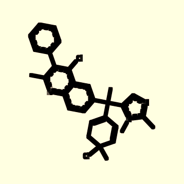 Cc1nc2ccc(C(C)(C3=CCC(C)(Cl)C=C3)c3cnc(C)n3C)cc2c(Cl)c1-c1ccccc1